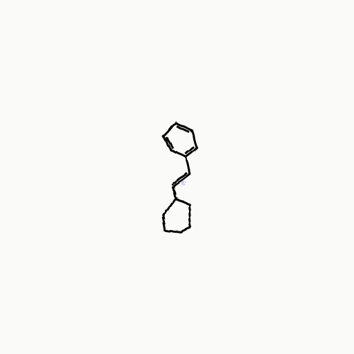 [c]1ccc(/C=C/C2CCCCC2)cc1